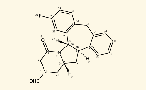 O=CN1CC(=O)N2[C@H](C[C@@H]3c4ccccc4Cc4ccc(F)cc4[C@H]32)C1